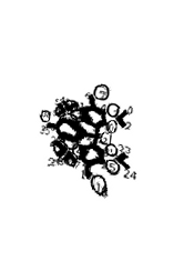 CC1(C)Oc2c(C=O)c3c(c(C(Cl)(c4c5c(c(C=O)c6c4OC(C)(C)O6)OC(C)(C)O5)c4c5c(c(C=O)c6c4OC(C)(C)O6)OC(C)(C)O5)c2O1)OC(C)(C)O3